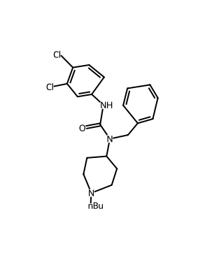 CCCCN1CCC(N(Cc2ccccc2)C(=O)Nc2ccc(Cl)c(Cl)c2)CC1